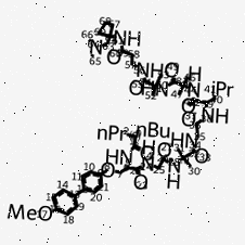 CCCC[C@H](CCC)C(=O)NC(COc1ccc(-c2ccc(OC)cc2)cc1)C(=O)NCC(=O)NC(C)(C)C(=O)NCC(=O)NC(CC(C)C)C(=O)NC(C)(C)C(=O)NC(C)(C)C(=O)NCCC(=O)NC1(CN(C)C)CCC1